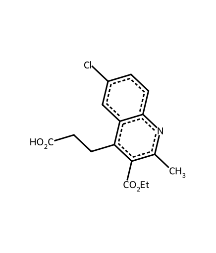 CCOC(=O)c1c(C)nc2ccc(Cl)cc2c1CCC(=O)O